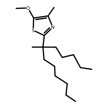 CCCCCCC(C)(CCCCC)c1nc(C)c(OC)s1